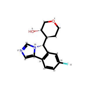 O[C@@H]1COCC[C@H]1[C@@H]1c2cc(F)ccc2-c2cncn21